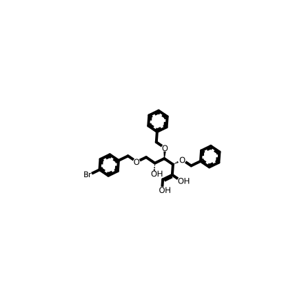 O/C=C(\O)[C@@H](OCc1ccccc1)[C@H](OCc1ccccc1)[C@H](O)COCc1ccc(Br)cc1